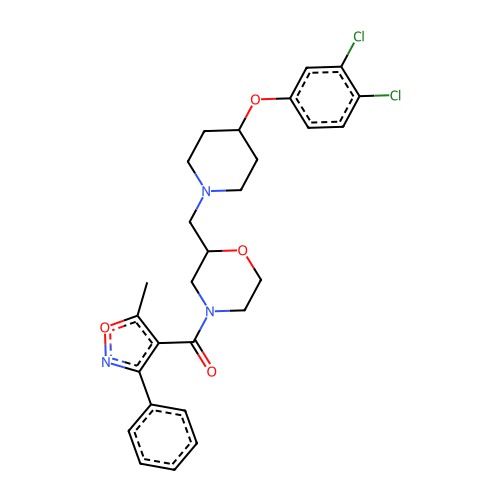 Cc1onc(-c2ccccc2)c1C(=O)N1CCOC(CN2CCC(Oc3ccc(Cl)c(Cl)c3)CC2)C1